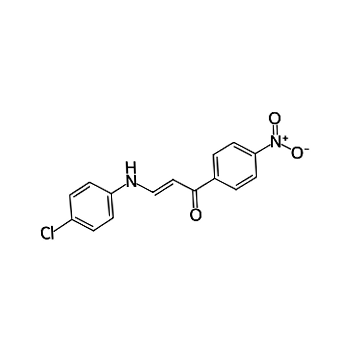 O=C(C=CNc1ccc(Cl)cc1)c1ccc([N+](=O)[O-])cc1